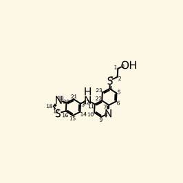 OCCSc1ccc2nccc(Nc3ccc4scnc4c3)c2c1